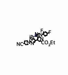 CCOC(=O)c1cc(-c2cnc(N3CCC(C#N)CC3)nc2)c(/C(=N\C)C(C)C)c(Nc2ccc(F)cc2F)n1